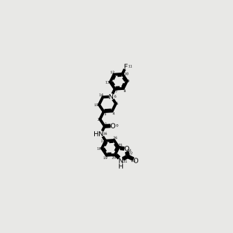 O=C(CC1=CCN(c2ccc(F)cc2)CC1)Nc1ccc2[nH]c(=O)oc2c1